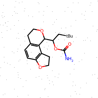 CC(C)(C)CC(OC(N)=O)C1OCCc2ccc3c(c21)CCO3